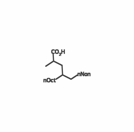 CCCCCCCCCCC(CCCCCCCC)CC(C)C(=O)O